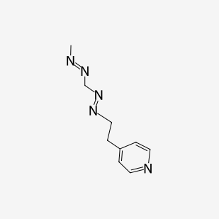 CN=NCN=NCCc1ccncc1